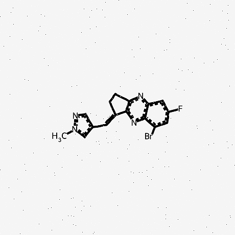 Cn1cc(C=C2CCc3nc4cc(F)cc(Br)c4nc32)cn1